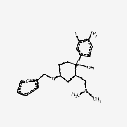 Cc1ccc(C2(O)CCC(OCc3ccccc3)CC2CN(C)C)cc1F